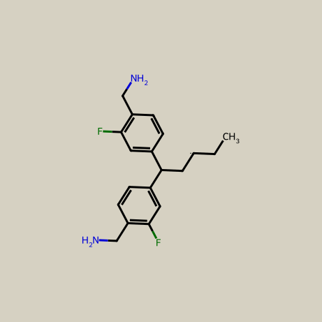 CC[CH]CC(c1ccc(CN)c(F)c1)c1ccc(CN)c(F)c1